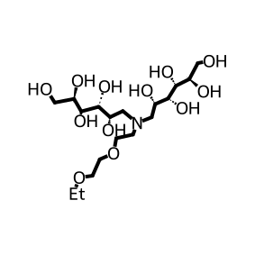 CCOCCOCCN(C[C@H](O)[C@@H](O)[C@H](O)[C@H](O)CO)C[C@H](O)[C@@H](O)[C@H](O)[C@H](O)CO